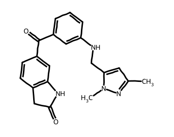 Cc1cc(CNc2cccc(C(=O)c3ccc4c(c3)NC(=O)C4)c2)n(C)n1